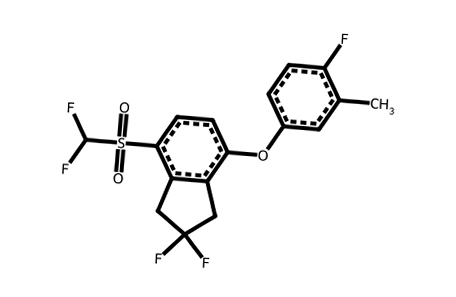 Cc1cc(Oc2ccc(S(=O)(=O)C(F)F)c3c2CC(F)(F)C3)ccc1F